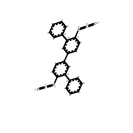 O=C=Nc1ccc(-c2ccc(N=C=O)c(-c3ccccc3)c2)cc1-c1ccccc1